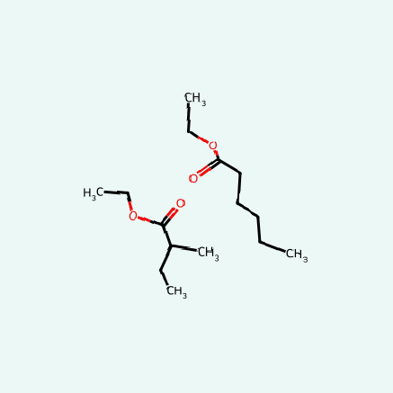 CCCCCC(=O)OCC.CCOC(=O)C(C)CC